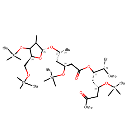 CC[C@H](OC)[C@H](C[C@@H](CC(=O)OC)O[Si](C)(C)C(C)(C)C)OC(=O)C[C@H](C[C@H](O[C@@H]1O[C@@H](CO[Si](C)(C)C(C)(C)C)C(O[Si](C)(C)C(C)(C)C)C1C)[C@@H](C)CC)O[Si](C)(C)C(C)(C)C